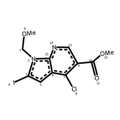 COCn1c(I)cc2c(Cl)c(C(=O)OC)cnc21